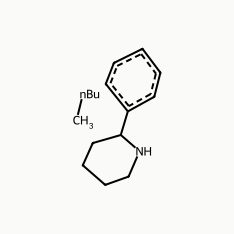 CCCCC.c1ccc(C2CCCCN2)cc1